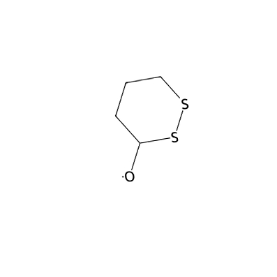 [O]C1CCCSS1